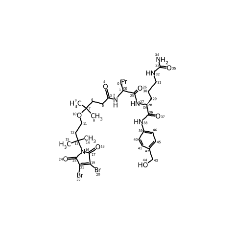 CC(C)[C@H](NC(=O)CCC(C)(C)OCCC(C)(C)N1C(=O)C(Br)=C(Br)C1=O)C(=O)N[C@@H](CCCNC(N)=O)C(=O)Nc1ccc(CO)cc1